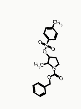 Cc1ccc(S(=O)(=O)OC2CCN(C(=O)OCc3ccccc3)C2C)cc1